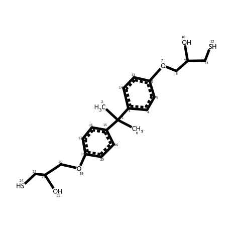 CC(C)(c1ccc(OCC(O)CS)cc1)c1ccc(OCC(O)CS)cc1